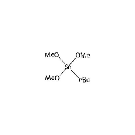 CCC[CH2][Sn]([O]C)([O]C)[O]C